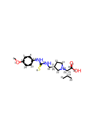 COc1ccc(NC(=S)NC[C@H]2CCN([C@H](C(=O)O)C(C)C)C2)cc1